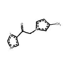 Cc1ccn(CC(=O)c2cncs2)c1